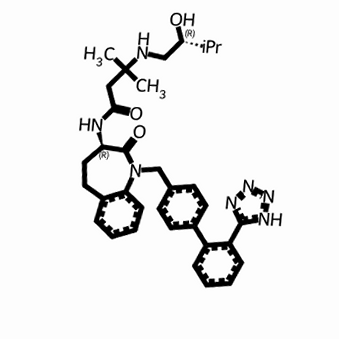 CC(C)[C@@H](O)CNC(C)(C)CC(=O)N[C@@H]1CCc2ccccc2N(Cc2ccc(-c3ccccc3-c3nnn[nH]3)cc2)C1=O